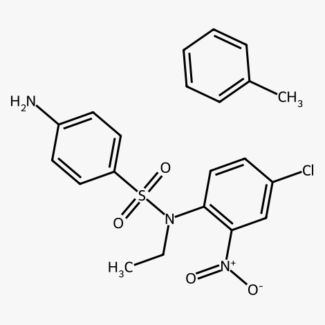 CCN(c1ccc(Cl)cc1[N+](=O)[O-])S(=O)(=O)c1ccc(N)cc1.Cc1ccccc1